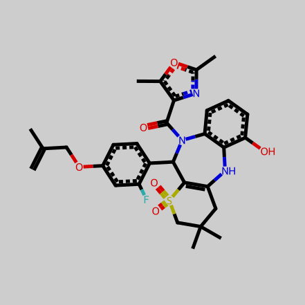 C=C(C)COc1ccc(C2C3=C(CC(C)(C)CS3(=O)=O)Nc3c(O)cccc3N2C(=O)c2nc(C)oc2C)c(F)c1